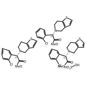 COC(=O)[C@H](c1ccccc1Cl)N1CCc2sccc2C1.COC(=O)[C@H](c1ccccc1Cl)N1CCc2sccc2C1.COC(=O)[C@H](c1ccccc1Cl)N1CCc2sccc2C1.O=S(=O)(O)O